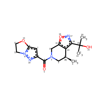 C[C@H]1CN(C(=O)c2cc3n(n2)CCO3)Cc2onc(C(C)(O)C(F)(F)F)c21